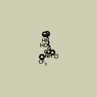 O=C(Nc1cccc(C(F)(F)F)c1)c1cc(Cl)ccc1OCC(O)CNCC12CC3CC(CC(C3)C1)C2